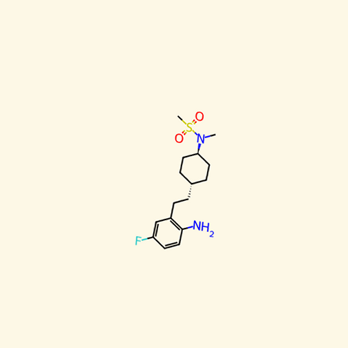 CN([C@H]1CC[C@H](CCc2cc(F)ccc2N)CC1)S(C)(=O)=O